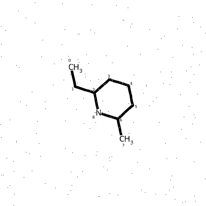 CCC1CCCC(C)[N]1